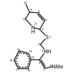 CN/C=C(\NCSC1C=CC(C)CN1)c1ccccc1